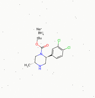 C[C@@H]1CN(C(=O)OC(C)(C)C)[C@@H](c2ccc(Cl)c(Cl)c2)CN1.[BH4-].[Na+]